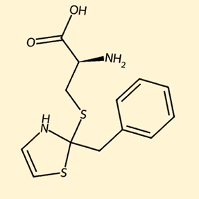 N[C@@H](CSC1(Cc2ccccc2)NC=CS1)C(=O)O